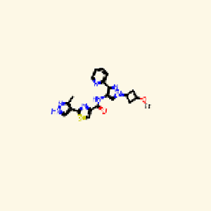 CCOC1CC(n2cc(NC(=O)c3csc(-c4c[nH]nc4C)n3)c(-c3ccccn3)n2)C1